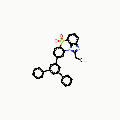 CCc1nc2cccc3c2n1-c1cc(-c2cc(-c4ccccc4)cc(-c4ccccc4)c2)ccc1S3(=O)=O